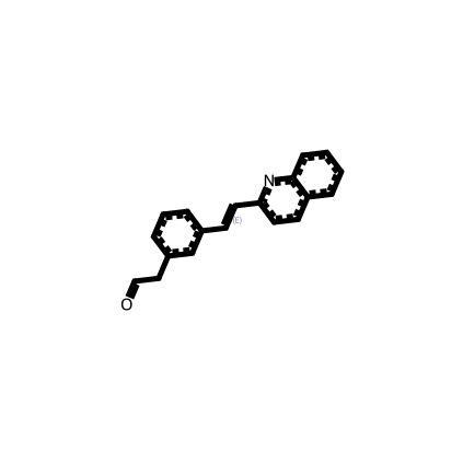 O=CCc1cccc(/C=C/c2ccc3ccccc3n2)c1